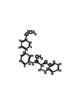 COc1ccc(-c2cccc(CN(C)C3CCc4ccccc4O3)c2)cc1